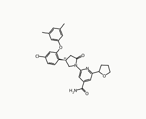 Cc1cc(C)cc(Oc2cc(Cl)ccc2[C@H]2CC(=O)N(c3cc(C(N)=O)cc(C4CCCO4)n3)C2)c1